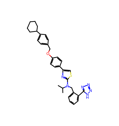 CC(C)N(Cc1ccccc1-c1nnn[nH]1)c1nc(-c2ccc(OCc3ccc(C4CCCCC4)cc3)cc2)cs1